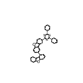 c1ccc(-c2nc(-c3ccccc3)nc(-c3ccc4oc5ccc(-c6cccc7oc8ccccc8c67)cc5c4c3)n2)cc1